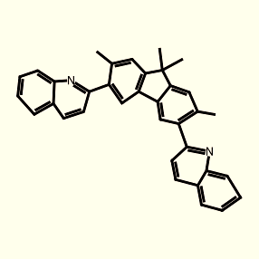 Cc1cc2c(cc1-c1ccc3ccccc3n1)-c1cc(-c3ccc4ccccc4n3)c(C)cc1C2(C)C